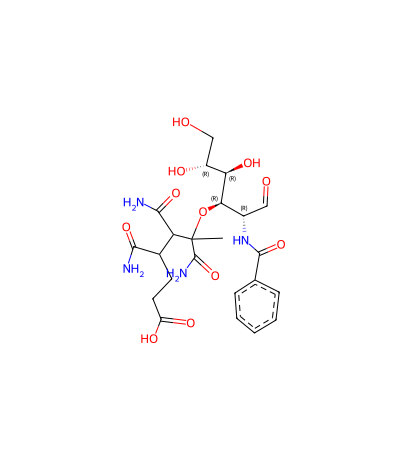 CC(O[C@@H]([C@H](O)[C@H](O)CO)[C@H](C=O)NC(=O)c1ccccc1)(C(N)=O)C(C(N)=O)C(CCC(=O)O)C(N)=O